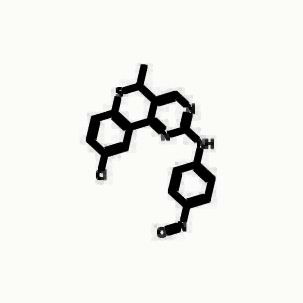 CC1Sc2ccc(Cl)cc2-c2nc(Nc3ccc(N=O)cc3)ncc21